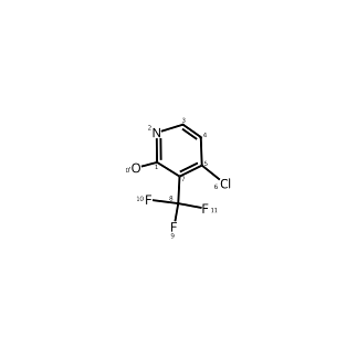 [O]c1nccc(Cl)c1C(F)(F)F